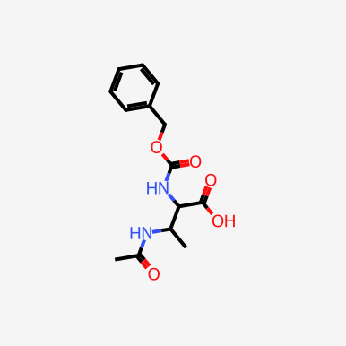 CC(=O)NC(C)C(NC(=O)OCc1ccccc1)C(=O)O